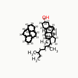 C=CC(C)CCC[C@@H](C)[C@H]1CC[C@H]2[C@@H]3CC=C4C[C@@H](O)CC[C@]4(C)[C@H]3CC[C@]12C.c1cc2ccc3cccc4ccc(c1)c2c34